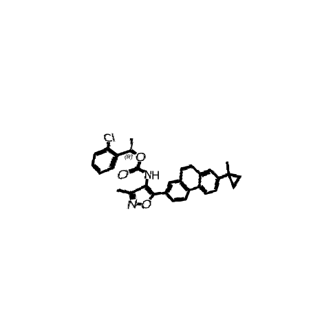 Cc1noc(-c2ccc3c(c2)CCc2cc(C4(C)CC4)ccc2-3)c1NC(=O)O[C@H](C)c1ccccc1Cl